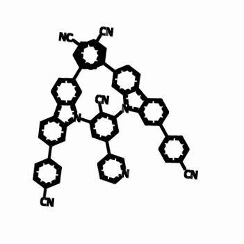 N#Cc1ccc(-c2ccc3c4ccc(-c5ccc(C#N)cc5)cc4n(-c4cc(-c5cccnc5)cc(-n5c6cc(-c7ccc(C#N)cc7)ccc6c6ccc(-c7ccc(C#N)cc7)cc65)c4C#N)c3c2)cc1